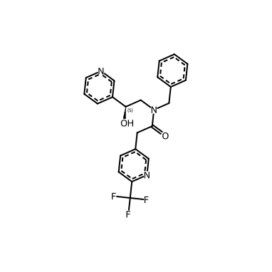 O=C(Cc1ccc(C(F)(F)F)nc1)N(Cc1ccccc1)C[C@@H](O)c1cccnc1